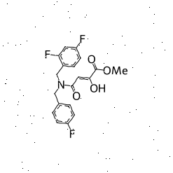 COC(=O)/C(O)=C/C(=O)N(Cc1ccc(F)cc1)Cc1ccc(F)cc1F